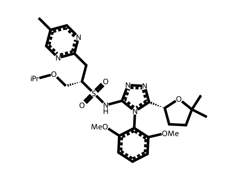 COc1cccc(OC)c1-n1c(NS(=O)(=O)[C@H](COC(C)C)Cc2ncc(C)cn2)nnc1[C@H]1CCC(C)(C)O1